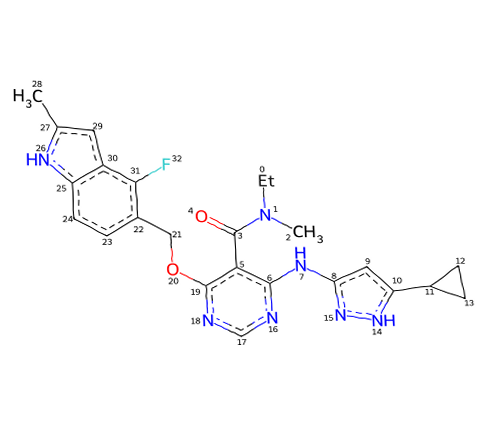 CCN(C)C(=O)c1c(Nc2cc(C3CC3)[nH]n2)ncnc1OCc1ccc2[nH]c(C)cc2c1F